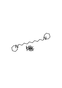 Br.Br.C(CCCCCN1CCCCC1)CCCCN1CCCCC1